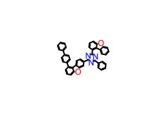 c1ccc(-c2ccc(-c3cccc4oc5cc(-c6nc(-c7ccccc7)nc(-c7cccc8oc9ccccc9c78)n6)ccc5c34)cc2)cc1